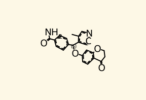 Cc1cnccc1[C@@H](Oc1ccc2c(c1)OCCC2=O)c1ccc(C(N)=O)cc1